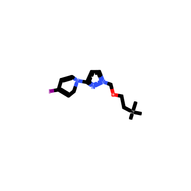 C[Si](C)(C)CCOCn1ccc(N2C=CC(I)=CC2)n1